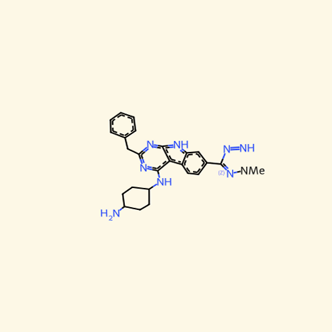 CN/N=C(\N=N)c1ccc2c(c1)[nH]c1nc(Cc3ccccc3)nc(NC3CCC(N)CC3)c12